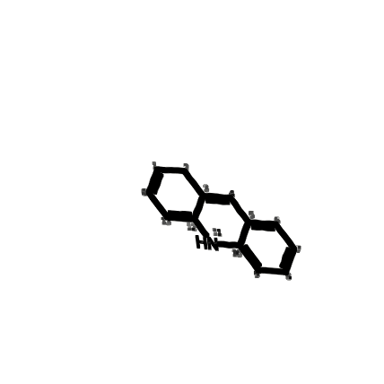 C1=CCC2=Cc3ccccc3NC2=C1